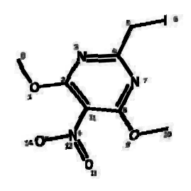 COc1nc(CI)nc(OC)c1[N+](=O)[O-]